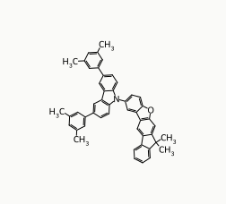 Cc1cc(C)cc(-c2ccc3c(c2)c2cc(-c4cc(C)cc(C)c4)ccc2n3-c2ccc3oc4cc5c(cc4c3c2)-c2ccccc2C5(C)C)c1